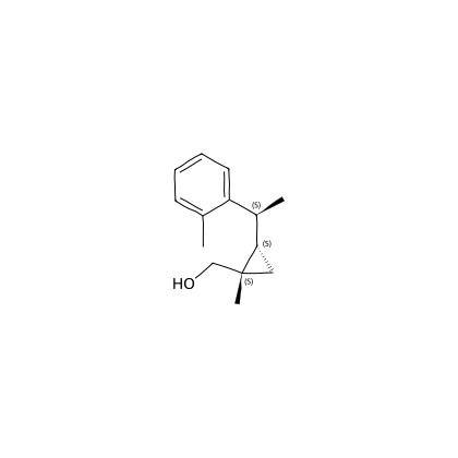 Cc1ccccc1[C@@H](C)[C@@H]1C[C@]1(C)CO